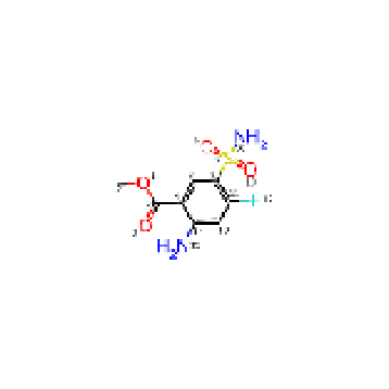 COC(=O)c1cc(S(N)(=O)=O)c(F)cc1N